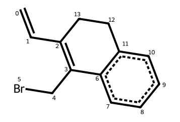 C=CC1=C(CBr)c2ccccc2CC1